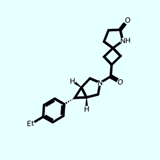 CCc1ccc([C@@H]2[C@@H]3CN(C(=O)C4CC5(CCC(=O)N5)C4)C[C@@H]32)cc1